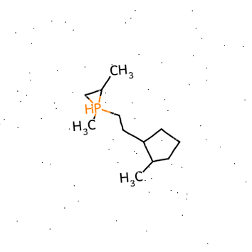 CC1CCCC1CC[PH]1(C)CC1C